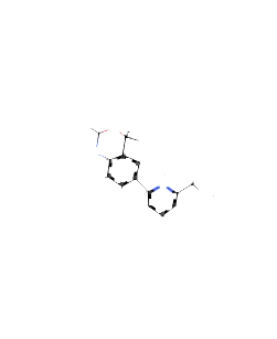 CC1(C)OC(S(=O)(=O)O)Nc2ccc(-c3cccc(CC#N)n3)cc21